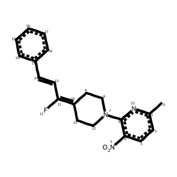 Cc1ccc([N+](=O)[O-])c(N2CCC(=C(F)C=Cc3ccccc3)CC2)n1